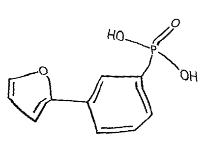 O=P(O)(O)c1cccc(-c2ccco2)c1